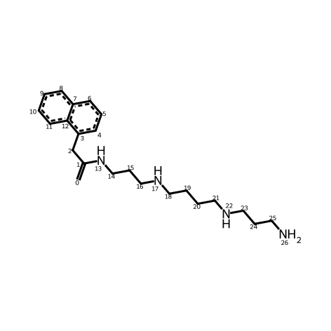 C=C(Cc1cccc2ccccc12)NCCCNCCCCNCCCN